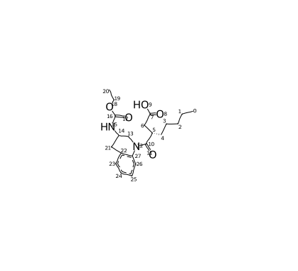 CCCCC[C@@H](CC(=O)O)C(=O)N1CC(NC(=O)OCC)Cc2ccccc21